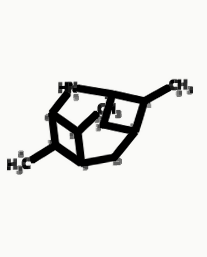 CC1C2CC1NC1C(C)C(C2)C1C